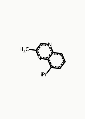 Cc1cnc2cccc(C(C)C)c2n1